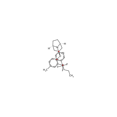 CCCOc1cc(C)ccc1O[C@H]1C[C@H]2CC[C@@H](C1)N2c1ccc(C(F)(F)F)cn1